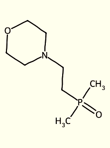 CP(C)(=O)CCN1CCOCC1